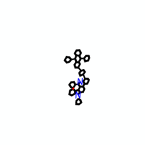 c1ccc(-c2c3ccccc3c(-c3ccccc3)c3cc(-c4ccc(-c5cccc6c5nc(-c5ccccc5)c5c6ccc6c5c5ccccc5n6-c5ccccc5)cc4)ccc23)cc1